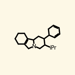 CC(C)C1CN2CC3=C(CCCC3)C2CC1C1C=CC=CC1